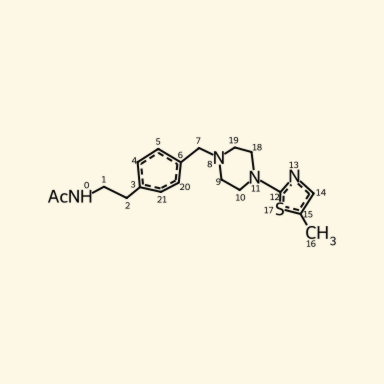 CC(=O)NCCc1ccc(CN2CCN(c3ncc(C)s3)CC2)cc1